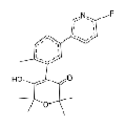 Cc1ccc(-c2ccc(F)nc2)cc1C1=C(O)C(C)(C)OC(C)(C)C1=O